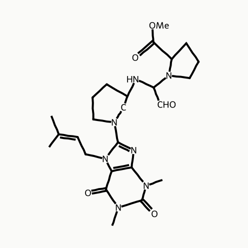 COC(=O)C1CCCN1C(C=O)NC1CCCN(c2nc3c(c(=O)n(C)c(=O)n3C)n2CC=C(C)C)C1